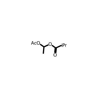 CC(=O)OC(C)OC(=O)C(C)C